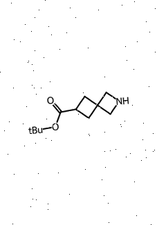 CC(C)(C)OC(=O)C1CC2(CNC2)C1